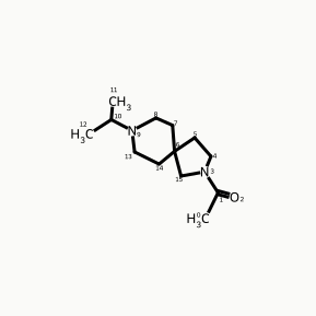 CC(=O)N1CCC2(CCN(C(C)C)CC2)C1